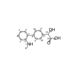 CNc1ccccc1-c1ccc(C(O)C(=O)O)cc1